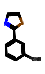 O=Cc1cccc(-c2nccs2)c1